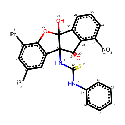 CC(C)c1cc(C(C)C)c2c(c1)C1(NC(=S)Nc3ccccc3)C(=O)c3c([N+](=O)[O-])cccc3C1(O)O2